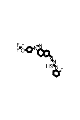 Fc1ccccc1N=C(S)N=NC=c1ccc2c(c1)CC=c1c=2ncn1-c1ccc(OC(F)(F)F)cc1